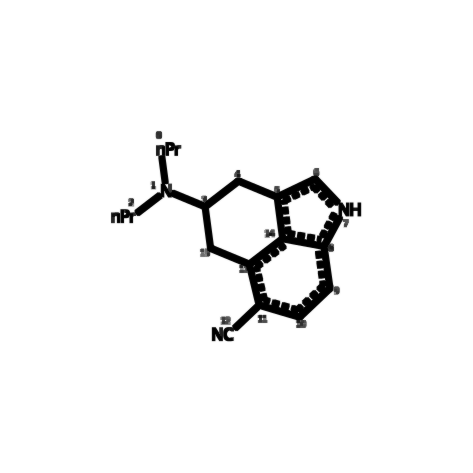 CCCN(CCC)C1Cc2c[nH]c3ccc(C#N)c(c23)C1